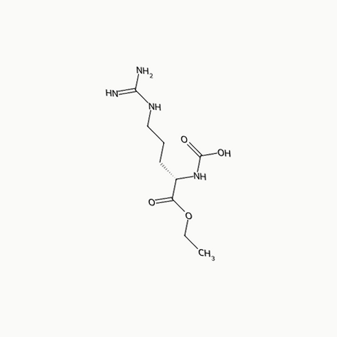 CCOC(=O)[C@H](CCCNC(=N)N)NC(=O)O